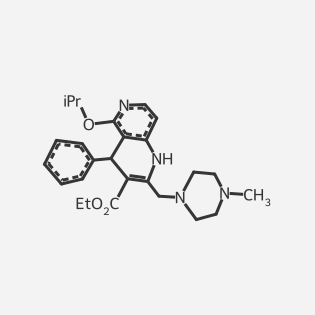 CCOC(=O)C1=C(CN2CCN(C)CC2)Nc2ccnc(OC(C)C)c2C1c1ccccc1